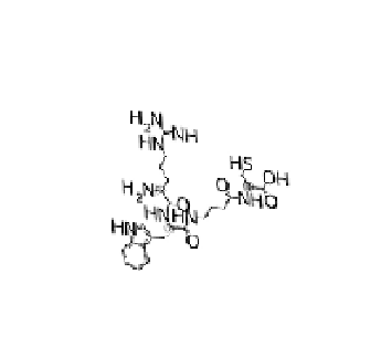 N=C(N)NCCC[C@H](N)C(=O)N[C@@H](Cc1c[nH]c2ccccc12)C(=O)NCCCC(=O)N[C@@H](CS)C(=O)O